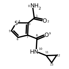 NC(=O)c1sccc1C(=O)NC1CC1